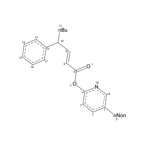 CCCCCCCCCc1ccc(OC(=O)/C=C/C(CCCC)c2ccccc2)nc1